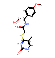 COc1ccc([C@@H](CO)NC(=O)CSc2nc(=O)[nH]cc2C)cc1